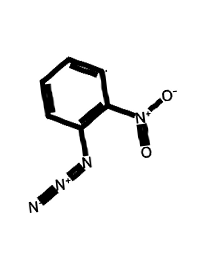 [N-]=[N+]=Nc1ccc[c]c1[N+](=O)[O-]